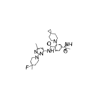 Cc1cc(NC(=O)c2ccc(S(C)(=N)=O)cc2N2CCC3(CC2)CC3)nc(N2CCC(C)(F)CC2)n1